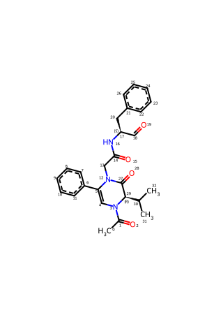 CC(=O)N1C=C(c2ccccc2)N(CC(=O)N[C@H](C=O)Cc2ccccc2)C(=O)[C@H]1C(C)C